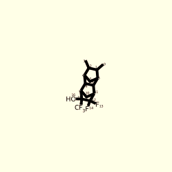 CC1C(C)C2CC1C1C2C2CC1C(F)(F)C2(O)C(F)(F)F